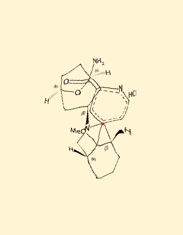 COC1(c2ccnc(C(N)=O)c2)[C@@H]2CCC[C@H]1CN([C@H]1C[C@H]3CC[C@@H](C1)O3)C2.Cl